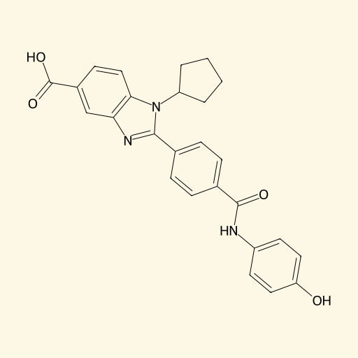 O=C(O)c1ccc2c(c1)nc(-c1ccc(C(=O)Nc3ccc(O)cc3)cc1)n2C1CCCC1